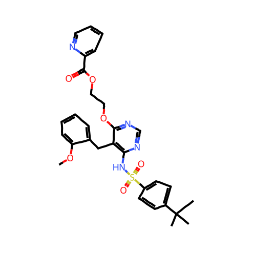 COc1ccccc1Cc1c(NS(=O)(=O)c2ccc(C(C)(C)C)cc2)ncnc1OCCOC(=O)c1ccccn1